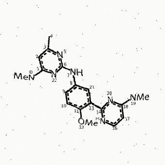 CNc1cc(C)nc(Nc2ccc(OC)c(-c3nccc(NC)n3)c2)n1